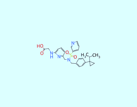 CC(C)C1(c2ccc(CN(Cc3cccc(NCC(=O)O)n3)S(=O)(=O)c3cccnc3)cc2)CC1